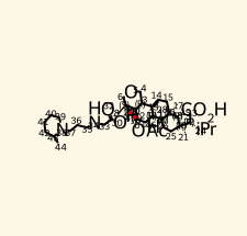 CC(=O)O[C@@H]1C[C@@]23COC[C@](C)([C@@H]2CC[C@H]2C3=CC[C@@]3(C)[C@H](C(=O)O)[C@@](C)([C@H](C)C(C)C)CC[C@]23C)[C@H]1OC(=O)CNCCCN1CCCCC1C